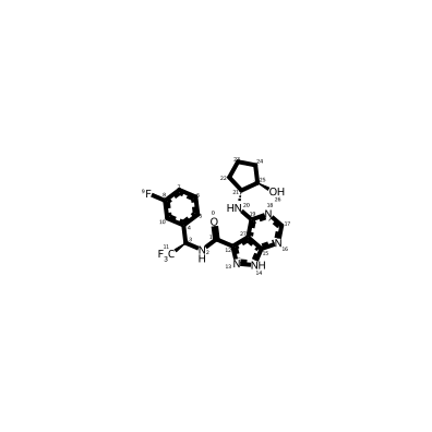 O=C(N[C@H](c1cccc(F)c1)C(F)(F)F)c1n[nH]c2ncnc(N[C@@H]3CCC[C@H]3O)c12